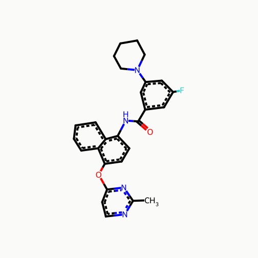 Cc1nccc(Oc2ccc(NC(=O)c3cc(F)cc(N4CCCCC4)c3)c3ccccc23)n1